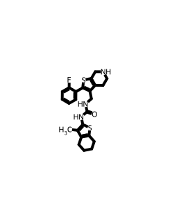 Cc1c(NC(=O)NCc2c(-c3ccccc3F)sc3c2CCNC3)sc2c1CCCC2